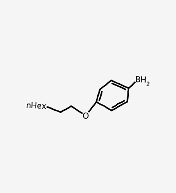 Bc1ccc(OCCCCCCCC)cc1